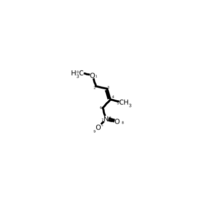 COCC=C(C)C[N+](=O)[O-]